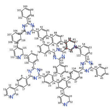 c1ccc(-c2nc(-c3ccc(-c4cccnc4)cc3)nc(-c3ccc(-c4cc(-c5ccncc5)cc(-c5ccc(-c6nc(-c7ccccc7)nc(-c7cccc(-c8cccc(-c9nc(-c%10ccccc%10)nc(-c%10ccccc%10-c%10cc(-c%11ccncc%11)ccc%10-c%10ccc(-c%11nc(-c%12ccccc%12)nc(-c%12cccc(-c%13ccncc%13)c%12)n%11)cc%10)n9)c8)c7)n6)cc5)c4)cc3)n2)cc1